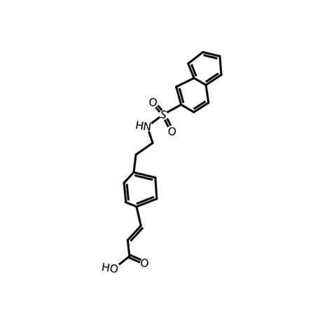 O=C(O)C=Cc1ccc(CCNS(=O)(=O)c2ccc3ccccc3c2)cc1